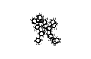 c1ccc(-c2cc3c4c(c2)-n2c5ccc(C67CCCC(CCC6)C7)cc5c5cc(C67CCCC(CCC6)C7)cc(c52)B4N2c4ccccc4C(c4ccccc4)(c4ccccc4)c4cccc-3c42)cc1